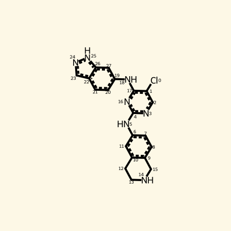 Clc1cnc(Nc2ccc3c(c2)CCNC3)nc1Nc1ccc2cn[nH]c2c1